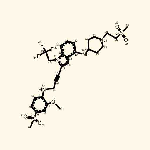 COc1cc(S(C)(=O)=O)ccc1NCC#Cc1cc2c(NC3CCN(CCS(C)(=O)=O)CC3)cccc2n1CC(F)(F)F